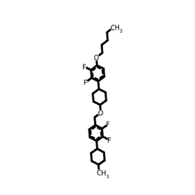 CCCCCOc1ccc(C2CCC(OCc3ccc(C4CCC(C)CC4)c(F)c3F)CC2)c(F)c1F